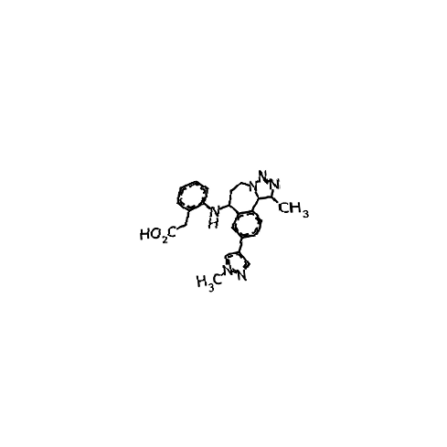 CC1N=NN2CCC(Nc3ccccc3CC(=O)O)c3cc(-c4cnn(C)c4)ccc3C12